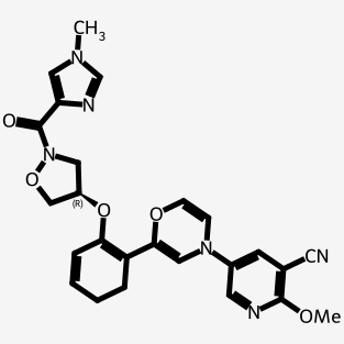 COc1ncc(N2C=COC(C3=C(O[C@H]4CON(C(=O)c5cn(C)cn5)C4)C=CCC3)=C2)cc1C#N